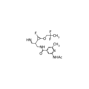 CC(=O)Nc1cc(C(=O)NCC(C=N)C2C(F)=C2OCC(C)(F)F)cc(C)n1